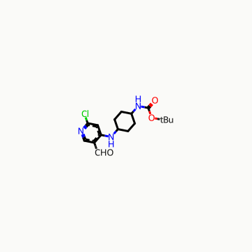 CC(C)(C)OC(=O)NC1CCC(Nc2cc(Cl)ncc2C=O)CC1